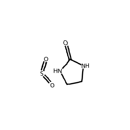 O=C1NCCN1.O=S=O